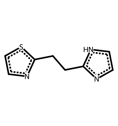 c1c[nH]c(CCc2nccs2)n1